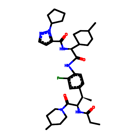 CCC(=O)N[C@@H](C(=O)N1CCC(C)CC1)[C@@H](C)c1ccc(NC(=O)[C@@H](NC(=O)c2ccnn2C2CCCC2)C2CCC(C)CC2)c(F)c1